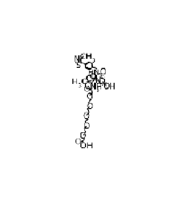 Cc1ncsc1-c1ccc(CNC(=O)[C@@H]2C[C@@H](O)CN2C(=O)C(NC(=O)COCCOCCOCCOCCOCC(=O)O)C(C)(C)C)cc1